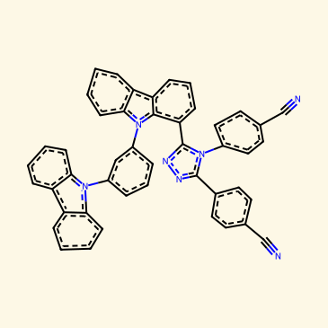 N#Cc1ccc(-c2nnc(-c3cccc4c5ccccc5n(-c5cccc(-n6c7ccccc7c7ccccc76)c5)c34)n2-c2ccc(C#N)cc2)cc1